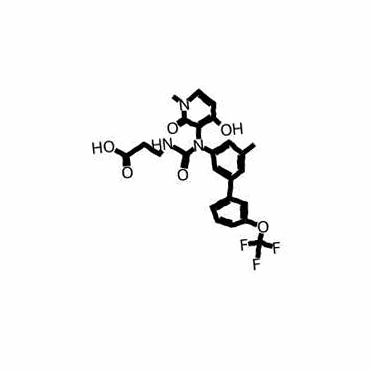 Cc1cc(-c2cccc(OC(F)(F)F)c2)cc(N(C(=O)NCCC(=O)O)c2c(O)ccn(C)c2=O)c1